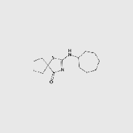 O=C1N=C(NC2CCCCCC2)SC12CCCC2